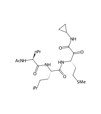 CCC[C@H](NC(C)=O)C(=O)N[C@@H](CCC(C)C)C(=O)N[C@@H](CCSC)C(=O)C(=O)NC1CC1